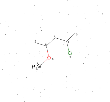 CC(Cl)CC(C)O[SiH3]